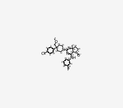 COCC1(c2ccc(Cl)cc2)CCN(C2=NC3(C)CC[S+]([O-])C3C(Nc3cccc(F)c3)=N2)CC1